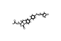 CC(=O)NC[C@@H]1OC(=O)N2c3ccc(-c4ccc(CNCc5c[nH]nn5)cc4)cc3C[C@@H]12